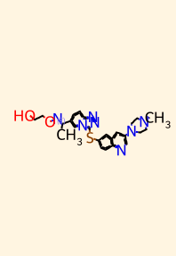 C/C(=N\OCCO)c1ccc2nnc(Sc3ccc4ncc(N5CCN(C)CC5)cc4c3)n2c1